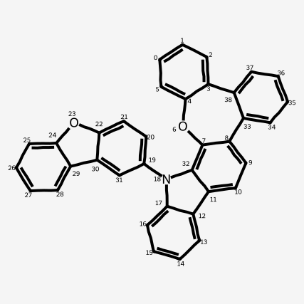 c1ccc2c(c1)Oc1c(ccc3c4ccccc4n(-c4ccc5oc6ccccc6c5c4)c13)-c1ccccc1-2